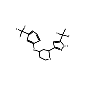 CC(F)(F)c1cc(C2CC(Sc3cccc(C(F)(F)F)c3)CCO2)n[nH]1